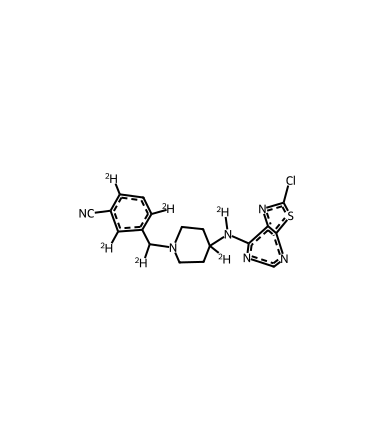 [2H]c1cc([2H])c(C([2H])N2CCC([2H])(N([2H])c3ncnc4sc(Cl)nc34)CC2)c([2H])c1C#N